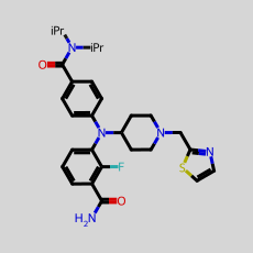 CC(C)N(C(=O)c1ccc(N(c2cccc(C(N)=O)c2F)C2CCN(Cc3nccs3)CC2)cc1)C(C)C